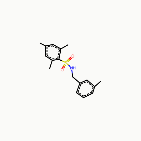 Cc1cccc(CNS(=O)(=O)c2c(C)cc(C)cc2C)c1